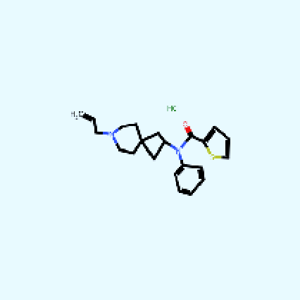 C=CCN1CCC2(CC1)CC(N(C(=O)c1cccs1)c1ccccc1)C2.Cl